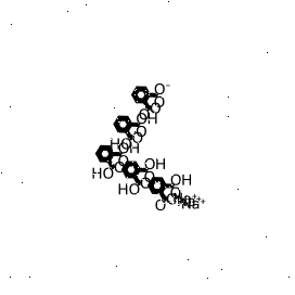 O=C(O)c1ccccc1C(=O)O.O=C(O)c1ccccc1C(=O)O.O=C(O)c1ccccc1C(=O)O.O=C([O-])c1ccccc1C(=O)O.O=C([O-])c1ccccc1C(=O)[O-].[Na+].[Na+].[Na+]